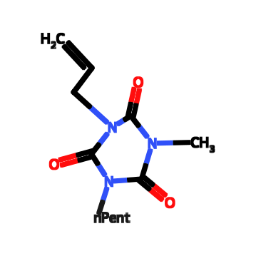 C=CCn1c(=O)n(C)c(=O)n(CCCCC)c1=O